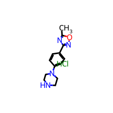 Cc1nc(-c2ccc(N3CCNCC3)cc2)no1.Cl